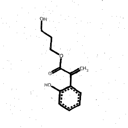 C=C(C(=O)OCCCO)c1ccccc1O